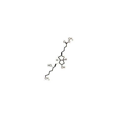 CCCCC[C@H](O)/C=C/[C@@H]1[C@H]2C/C(=C/CCCC(=O)OC)S[C@@H]2C[C@H]1O